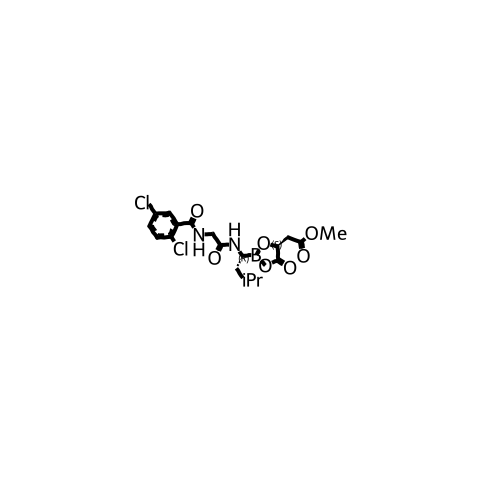 COC(=O)C[C@@H]1OB([C@H](CC(C)C)NC(=O)CNC(=O)c2cc(Cl)ccc2Cl)OC1=O